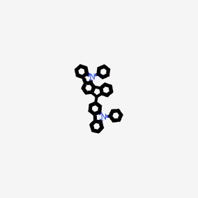 c1ccc(-n2c3ccccc3c3ccc(C4c5ccccc5-c5c4ccc4c6ccccc6n(-c6ccccc6)c54)cc32)cc1